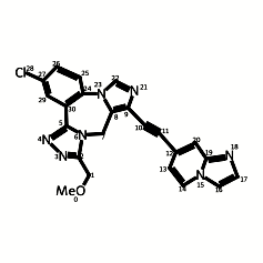 COCc1nnc2n1Cc1c(C#Cc3ccn4ccnc4c3)ncn1-c1ccc(Cl)cc1-2